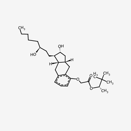 CCCCC[C@H](O)CC[C@@H]1[C@H]2Cc3cccc(OCC(=O)O[C@@H](C)C(C)(C)C)c3C[C@H]2C[C@H]1O